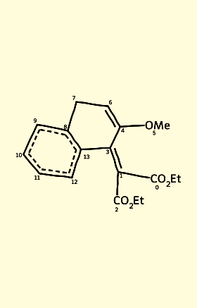 CCOC(=O)C(C(=O)OCC)=C1C(OC)=CCc2ccccc21